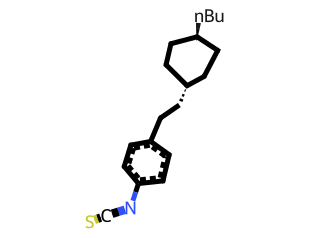 CCCC[C@H]1CC[C@H](CCc2ccc(N=C=S)cc2)CC1